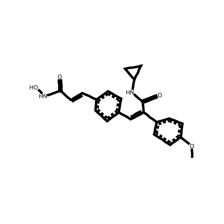 COc1ccc(/C(=C/c2ccc(/C=C/C(=O)NO)cc2)C(=O)NC2CC2)cc1